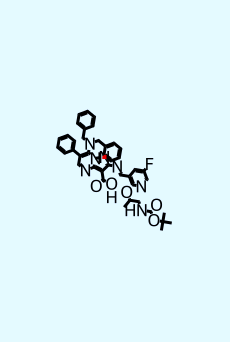 CC(CNC(=O)OC(C)(C)C)Oc1ncc(F)cc1C=Nc1nn2c(N(Cc3ccccc3)Cc3ccccc3)c(-c3ccccc3)cnc2c1C(=O)O